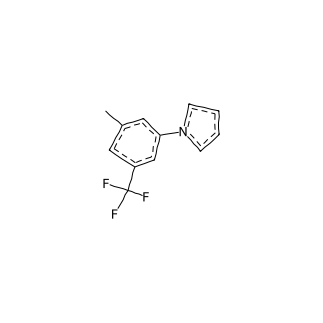 Cc1cc(-n2cccc2)cc(C(F)(F)F)c1